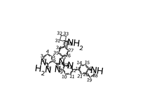 Nc1ncccc1-c1nc2ccc(-c3ccc4[nH]ccc4c3)nc2n1-c1ccc(C2(N)CCC2)cc1